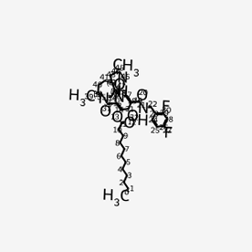 CCCCCCCCCCCC(=O)Oc1c2n(cc(C(=O)NCc3ccc(F)cc3F)c1=O)[C@@H]1CN(C2=O)[C@@H](C)CC[C@]12CC(C)=NO2